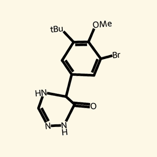 COc1c(Br)cc(C2NC=NNC2=O)cc1C(C)(C)C